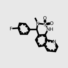 CN1C(c2ccc(F)cc2)c2ccc3cccnc3c2NS1(=O)=O